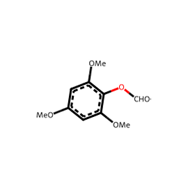 COc1cc(OC)c(O[C]=O)c(OC)c1